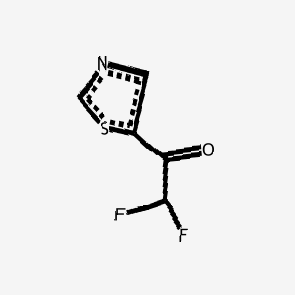 O=C(c1cncs1)C(F)F